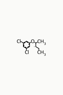 CC[CH]C(C)Oc1cc(Cl)cc(Cl)c1